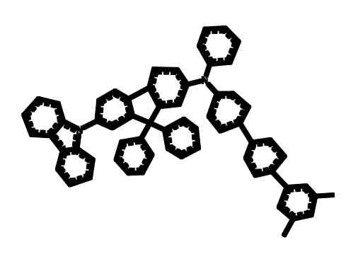 Cc1cc(C)cc(-c2ccc(-c3ccc(N(c4ccccc4)c4ccc5c(c4)C(c4ccccc4)(c4ccccc4)c4cc(-n6c7ccccc7c7ccccc76)ccc4-5)cc3)cc2)c1